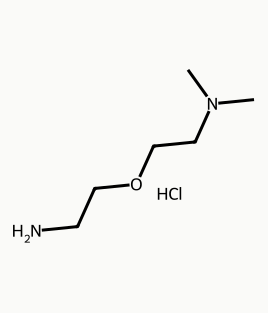 CN(C)CCOCCN.Cl